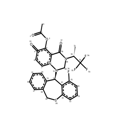 CC(=O)Oc1c2n(ccc1=O)N([C@@H]1c3ccccc3CSc3cccc(F)c31)CN([C@H](C)C(F)(F)F)C2=O